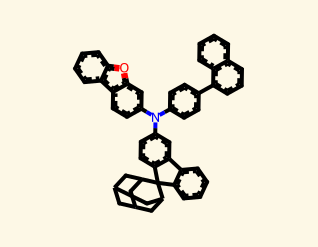 c1ccc2c(c1)-c1cc(N(c3ccc(-c4cccc5ccccc45)cc3)c3ccc4c(c3)oc3ccccc34)ccc1C21C2CC3CC(C2)CC1C3